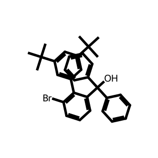 CC(C)(C)c1cc(-c2c(Br)cccc2C(O)(c2ccccc2)c2ccccc2)cc(C(C)(C)C)c1